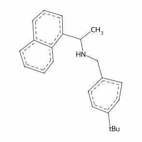 CC(NCc1ccc(C(C)(C)C)cc1)c1cccc2ccccc12